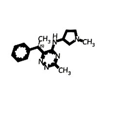 Cc1nnc([C@@H](C)c2ccccc2)c(NC2CCN(C)C2)n1